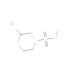 CCNS(=O)(=O)N1CCNC(=C=O)C1